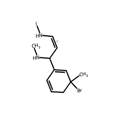 CNC(/C=C\NI)C1=CC(C)(Br)CC=C1